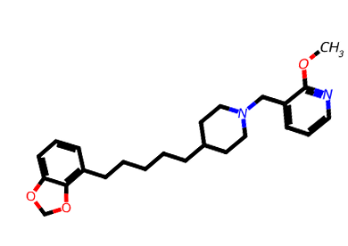 COc1ncccc1CN1CCC(CCCCCc2cccc3c2OCO3)CC1